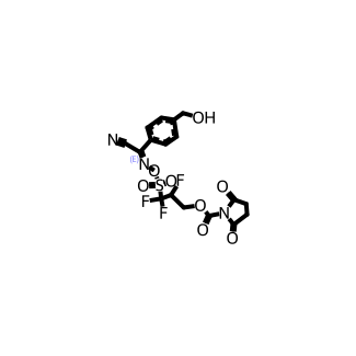 N#C/C(=N/OS(=O)(=O)C(F)(F)C(F)COC(=O)N1C(=O)CCC1=O)c1ccc(CO)cc1